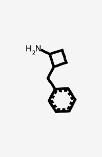 NC1CCC1Cc1ccccc1